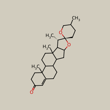 CC1CC[C@@]2(OC1)OC1CC3C4CCC5=CC(=O)CCC5(C)C4CCC3(C)C1[C@@H]2C